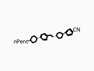 CCCCC[C@H]1CC[C@H](c2ccc(CC[C@H]3CC[C@H](c4ccc(C#N)cc4)CC3)cc2)CC1